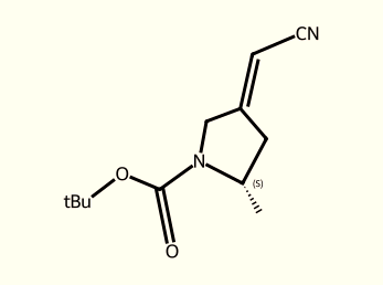 C[C@H]1CC(=CC#N)CN1C(=O)OC(C)(C)C